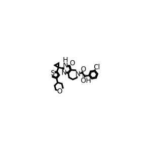 O=C([C@H](O)c1cccc(Cl)c1)N1CCCc2nc(C3(c4cc(C5CCOCC5)cs4)CC3)[nH]c(=O)c2C1